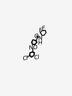 O=C(NC1CCCC(F)(F)C1)c1ccc2nc(-c3cc(Cl)cc(Cl)c3)oc2c1